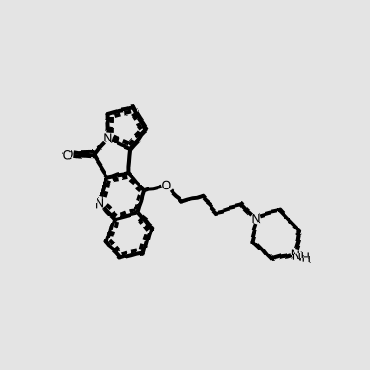 O=C1c2nc3ccccc3c(OCCCCN3CCNCC3)c2-c2cccn21